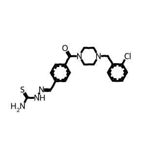 NC(=S)NN=Cc1ccc(C(=O)N2CCN(Cc3ccccc3Cl)CC2)cc1